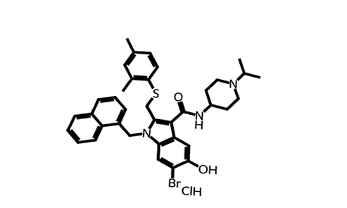 Cc1ccc(SCc2c(C(=O)NC3CCN(C(C)C)CC3)c3cc(O)c(Br)cc3n2Cc2cccc3ccccc23)c(C)c1.Cl